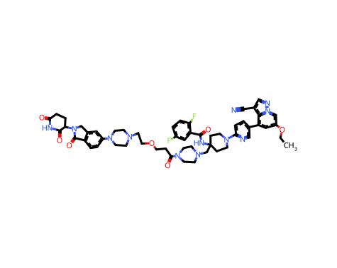 CCOc1cc(-c2ccc(N3CCC(CN4CCN(C(=O)CCOCCN5CCN(c6ccc7c(c6)CN(C6CCC(=O)NC6=O)C7=O)CC5)CC4)(NC(=O)c4cc(F)ccc4F)CC3)nc2)c2c(C#N)cnn2c1